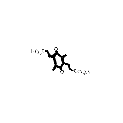 CC1=C(CCC(=O)O)C(=O)C(C)=C(CCC(=O)O)C1=O